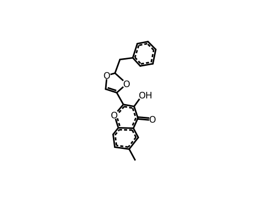 Cc1ccc2oc(C3=COC(Cc4ccccc4)O3)c(O)c(=O)c2c1